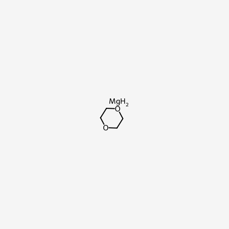 C1COCCO1.[MgH2]